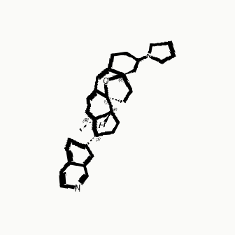 C[C@]12CC=C3C=C4CCC(N5CCCC5)C[C@]45CC[C@]3(O5)[C@@H]1CC[C@@H]2c1ccc2ccncc2c1